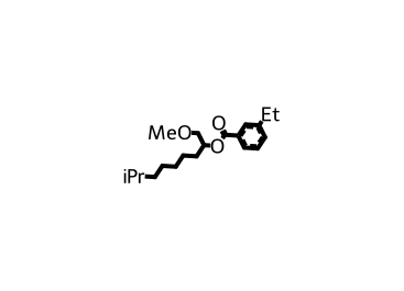 CCc1cccc(C(=O)OC(CCCCCC(C)C)COC)c1